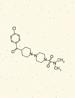 CN(C)S(=O)(=O)N1CCN(N2CCC(C(=O)c3ccc(Cl)cc3)CC2)CC1